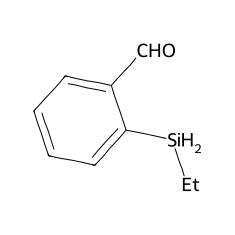 CC[SiH2]c1ccccc1C=O